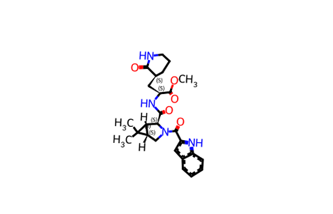 COC(=O)[C@H](C[C@@H]1CCCNC1=O)NC(=O)[C@@H]1[C@@H]2[C@H](CN1C(=O)c1cc3ccccc3[nH]1)C2(C)C